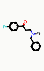 CCN(CCC(=O)c1ccc(F)cc1)Cc1ccccc1